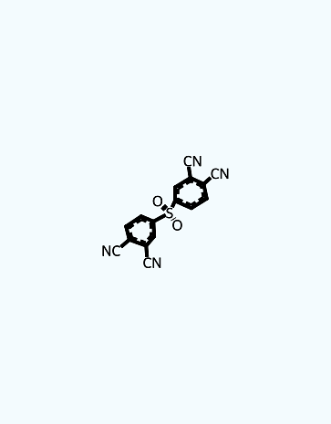 N#Cc1ccc(S(=O)(=O)c2ccc(C#N)c(C#N)c2)cc1C#N